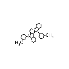 Cc1cccc(-n2c3ccccc3c3c2ccc2c4ccccc4n(-c4cccc(C)c4)c23)c1